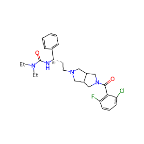 CCN(CC)C(=O)N[C@@H](CCN1CC2CN(C(=O)c3c(F)cccc3Cl)CC2C1)c1ccccc1